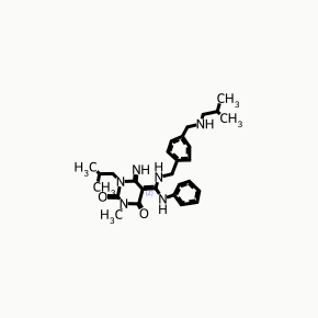 CC(C)CNCc1ccc(CN/C(Nc2ccccc2)=C2\C(=N)N(CC(C)C)C(=O)N(C)C2=O)cc1